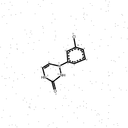 O=C1NC=CN(c2cccc(Cl)c2)N1